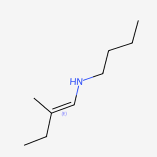 CCCCN/C=C(\C)CC